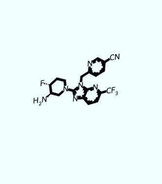 N#Cc1ccc(Cn2c(N3CC[C@@H](F)[C@H](N)C3)nc3ccc(C(F)(F)F)nc32)nc1